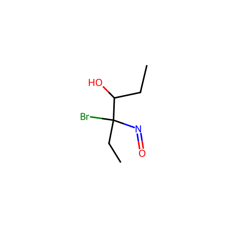 CCC(O)C(Br)(CC)N=O